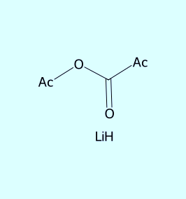 CC(=O)OC(=O)C(C)=O.[LiH]